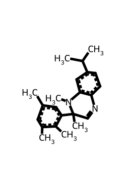 Cc1cc(C)c(C)c(C2(C)C=Nc3ccc(C(C)C)cc3N2C)c1